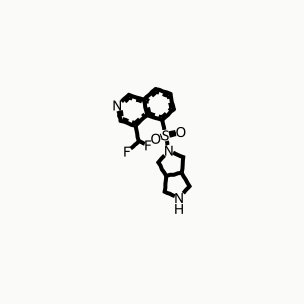 O=S(=O)(c1cccc2cncc(C(F)F)c12)N1CC2CNCC2C1